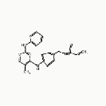 C=CC(=O)NCc1ccc(Nc2nc(Nc3ccccc3)ncc2C)cc1